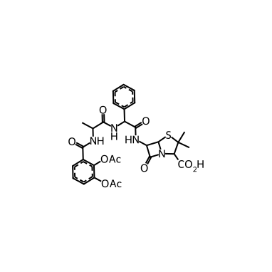 CC(=O)Oc1cccc(C(=O)NC(C)C(=O)NC(C(=O)NC2C(=O)N3C2SC(C)(C)C3C(=O)O)c2ccccc2)c1OC(C)=O